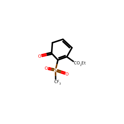 CCOC(=O)C1=C(S(=O)(=O)C(F)(F)F)C(=O)CC=C1